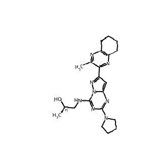 Cc1nc2c(nc1-c1cc3nc(N4CCCC4)nc(NC[C@@H](C)O)n3n1)CCCC2